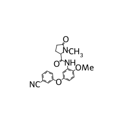 COc1ccc(Oc2cccc(C#N)c2)cc1NC(=O)C1CCC(=O)N1C